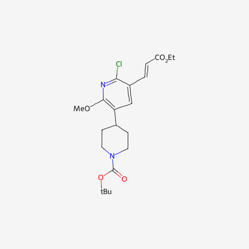 CCOC(=O)/C=C/c1cc(C2CCN(C(=O)OC(C)(C)C)CC2)c(OC)nc1Cl